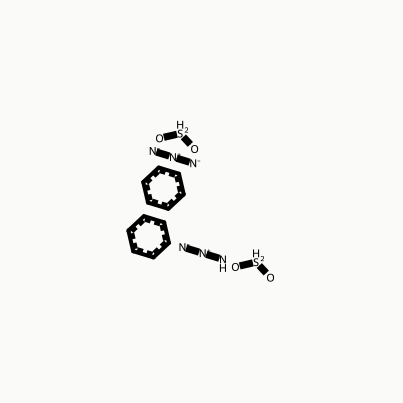 O=[SH2]=O.O=[SH2]=O.[N-]=[N+]=N.[N-]=[N+]=[N-].c1ccccc1.c1ccccc1